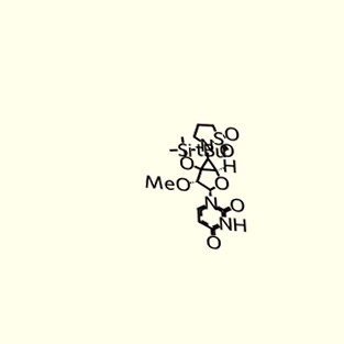 CO[C@H]1[C@H](n2ccc(=O)[nH]c2=O)O[C@@H]2C(N3CCCS3(=O)=O)C21O[Si](C)(C)C(C)(C)C